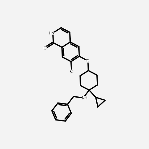 O=c1[nH]ccc2cc(OC3CCC(NCc4ccccc4)(C4CC4)CC3)c(Cl)cc12